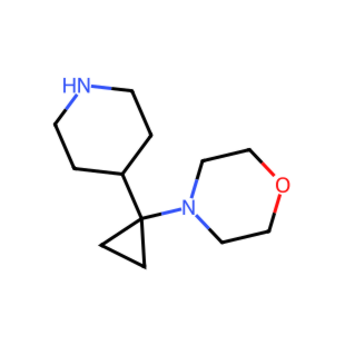 C1CC(C2(N3CCOCC3)CC2)CCN1